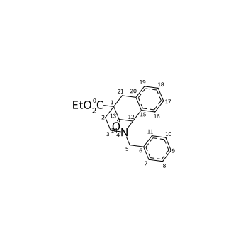 CCOC(=O)C12CCN(Cc3ccccc3)C(C1=O)c1ccccc1C2